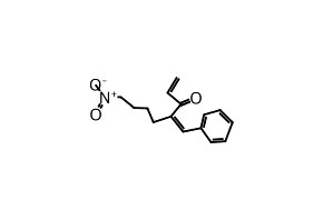 C=CC(=O)C(=Cc1ccccc1)CCCC[N+](=O)[O-]